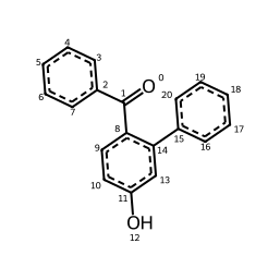 O=C(c1ccccc1)c1ccc(O)cc1-c1ccccc1